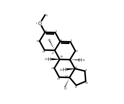 COC1=CC2=CC[C@H]3[C@@H]4CCC[C@@]4(C)CC[C@@H]3[C@@]2(C)CC1